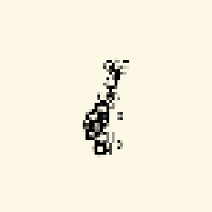 C[C@]12CC[C@H](OC(=O)C3CCN(C(=O)C(F)(F)F)CC3)CC1=CC[C@@H]1[C@@H]2CC[C@]2(C)C(c3cccnc3)=CC[C@@H]12